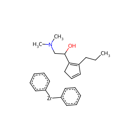 CCCC1=C(C(O)CN(C)C)CC=C1.c1cc[c]([Zr][c]2ccccc2)cc1